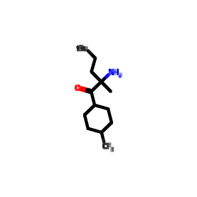 CC(C)(C)CCC(C)(N)C(=O)C1CCC(C(F)(F)F)CC1